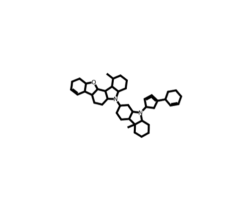 CC1CCCC2C1C1C3OC4CCC=CC4C3CCC1N2C1CCC2C(C1)N(C1C=C=C(C3C=CCCC3)C1)C1CCCCC21C